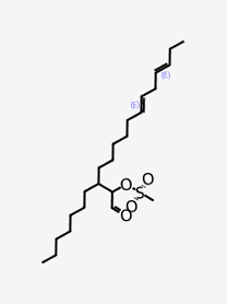 CC/C=C/C/C=C/CCCCCC(CCCCCCC)C(C=O)OS(C)(=O)=O